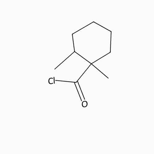 CC1CCCCC1(C)C(=O)Cl